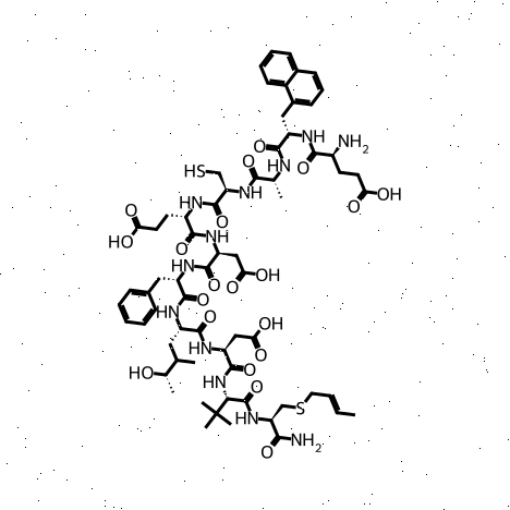 C/C=C/CSC[C@H](NC(=O)[C@@H](NC(=O)[C@H](CC(=O)O)NC(=O)[C@H](CC(C)[C@H](C)O)NC(=O)[C@H](Cc1ccccc1)NC(=O)[C@H](CC(=O)O)NC(=O)[C@H](CCC(=O)O)NC(=O)[C@@H](CS)NC(=O)[C@@H](C)NC(=O)[C@H](Cc1cccc2ccccc12)NC(=O)[C@@H](N)CCC(=O)O)C(C)(C)C)C(N)=O